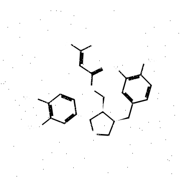 COc1ccc(C[C@H]2CO[C@H](c3ccc(OC)c(OC)c3)[C@H]2COC(=O)C=C(C)C)cc1OC